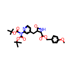 COc1ccc(COC(=O)C2NC(=O)C2Cc2ccnc(N(C(=O)OC(C)(C)C)C(=O)OC(C)(C)C)c2)cc1